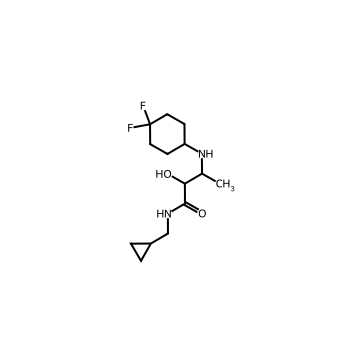 CC(NC1CCC(F)(F)CC1)C(O)C(=O)NCC1CC1